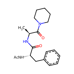 CC(=O)N[C@@H](Cc1ccccc1)C(=O)N[C@@H](C)C(=O)N1CCCCC1